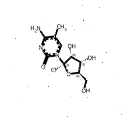 Cc1cn([C@]2(Cl)O[C@H](CO)[C@@H](O)[C@H]2O)c(=O)nc1N